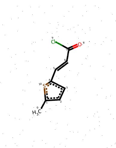 Cc1ccc(C=CC(=O)Cl)s1